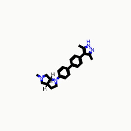 Cc1n[nH]c(C)c1-c1ccc(-c2ccc(N3CC[C@@H]4CN(C)C[C@@H]43)cc2)cc1